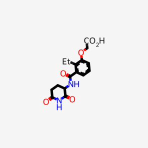 CCc1c(OCC(=O)O)cccc1C(=O)NC1CCC(=O)NC1=O